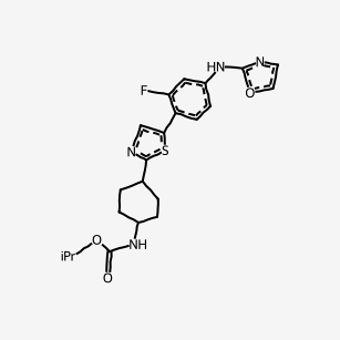 CC(C)OC(=O)NC1CCC(c2ncc(-c3ccc(Nc4ncco4)cc3F)s2)CC1